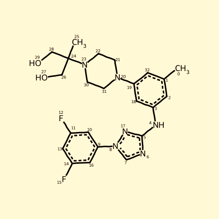 Cc1cc(Nc2ncn(-c3cc(F)cc(F)c3)n2)cc(N2CCN(C(C)(CO)CO)CC2)c1